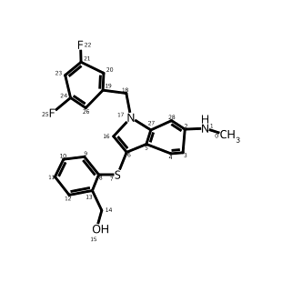 CNc1ccc2c(Sc3ccccc3CO)cn(Cc3cc(F)cc(F)c3)c2c1